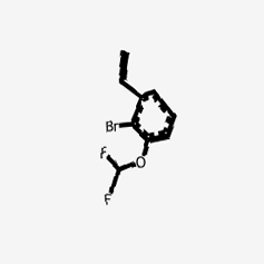 C=Cc1cccc(OC(F)F)c1Br